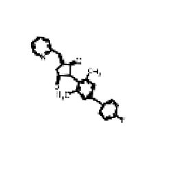 Cc1cc(-c2ccc(F)cc2)cc(C)c1C1C(=O)C/C(=C\c2ccccn2)C1=O